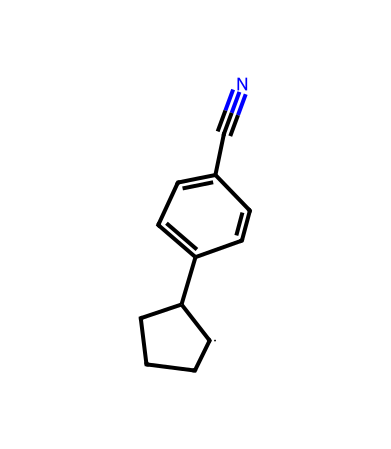 N#Cc1ccc(C2[CH]CCC2)cc1